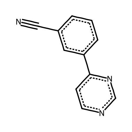 N#Cc1cccc(-c2ccncn2)c1